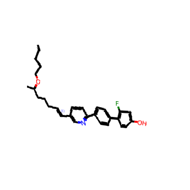 CCCCCOC(C)CCC/C=C/c1ccc(-c2ccc(-c3ccc(O)cc3F)cc2)nc1